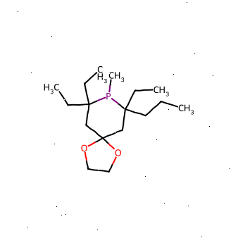 CCCC1(CC)CC2(CC(CC)(CC)P1C)OCCO2